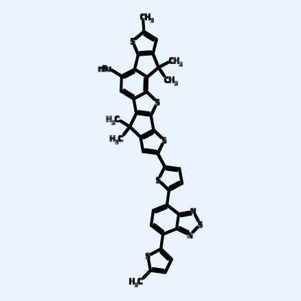 CCCCc1cc2c3c(sc2c2c1-c1sc(C)cc1C2(C)C)-c1sc(-c2ccc(-c4ccc(-c5ccc(C)s5)c5nsnc45)s2)cc1C3(C)C